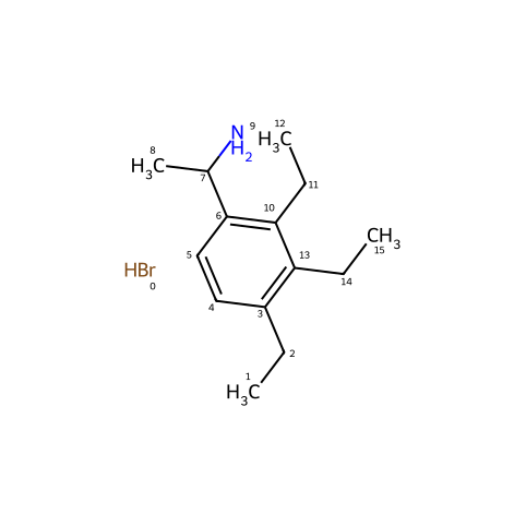 Br.CCc1ccc(C(C)N)c(CC)c1CC